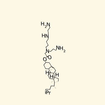 CC(C)CCC[C@@H](C)[C@H]1CC[C@H]2[C@@H]3CC=C4C[C@@H](OC(=O)CN(CCCN)CCCCNCCCN)CC[C@]4(C)[C@H]3CC[C@]12C